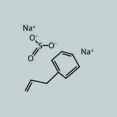 C=CCc1ccccc1.O=S([O-])[O-].[Na+].[Na+]